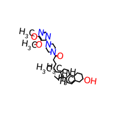 COc1ncnc(N2CCN(C(=O)CC[C@@H](C)[C@H]3CC[C@H]4[C@@H]5CC=C6C[C@@H](O)CC[C@]6(C)[C@H]5CC[C@]34C)CC2)c1OC